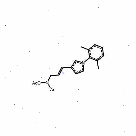 CC(=O)ON(C/C=C/c1ccn(-c2c(C)cccc2C)c1)C(C)=O